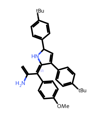 C=C(N)/C(=C1\NC(c2ccc(C(C)(C)C)cc2)C=C1c1ccc(C(C)(C)C)cc1)c1ccc(OC)cc1